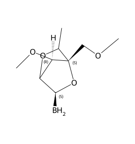 B[C@@H]1O[C@@]2(COC)C(C)OC1[C@H]2OC